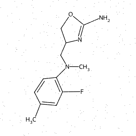 Cc1ccc(N(C)CC2COC(N)=N2)c(F)c1